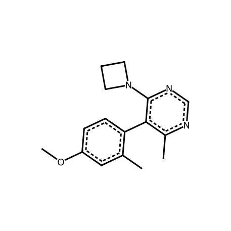 COc1ccc(-c2c(C)ncnc2N2CCC2)c(C)c1